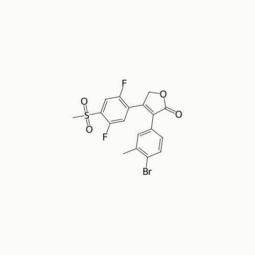 Cc1cc(C2=C(c3cc(F)c(S(C)(=O)=O)cc3F)COC2=O)ccc1Br